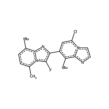 Cc1ccc(C(C)(C)C)c2nc(-c3cc(Cl)n4ccnc4c3C(C)(C)C)c(F)n12